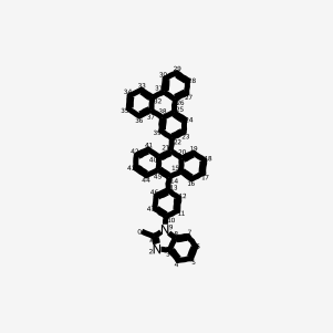 Cc1nc2ccccc2n1-c1ccc(-c2c3ccccc3c(-c3ccc4c5ccccc5c5ccccc5c4c3)c3ccccc23)cc1